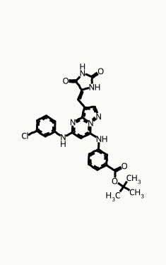 CC(C)(C)OC(=O)c1cccc(Nc2cc(Nc3cccc(Cl)c3)nc3c(/C=C4\NC(=O)NC4=O)cnn23)c1